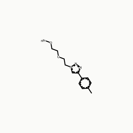 CCCOCCOCCn1cc(-c2ccc(C)cc2)nn1